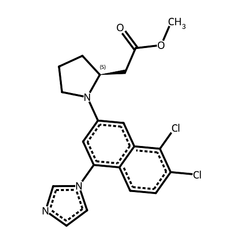 COC(=O)C[C@@H]1CCCN1c1cc(-n2ccnc2)c2ccc(Cl)c(Cl)c2c1